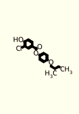 CC[C@H](C)COc1ccc(OC(=O)c2ccc(O)c(Cl)c2)cc1